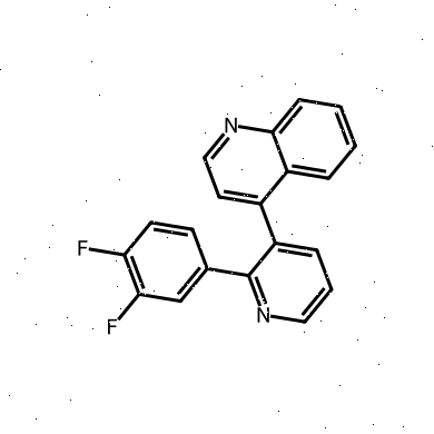 Fc1ccc(-c2ncccc2-c2ccnc3ccccc23)cc1F